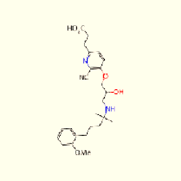 COc1ccccc1CCCC(C)(C)NCC(O)COc1ccc(CCC(=O)O)nc1C#N